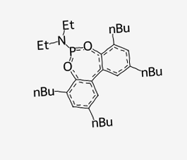 CCCCc1cc(CCCC)c2op(N(CC)CC)oc3c(CCCC)cc(CCCC)cc3c2c1